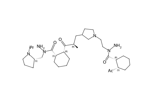 CC(=O)[C@H]1CCCC[C@H]1C(=O)N(N)CCN1CCC(C[C@@H](C)C(=O)[C@@H]2CCCC[C@@H]2C(=O)N(N)C[C@@H]2CCCN2C(C)C)C1